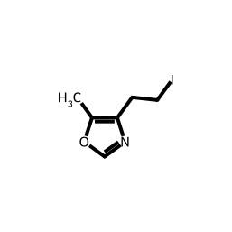 Cc1ocnc1CCI